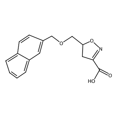 O=C(O)C1=NOC(COCc2ccc3ccccc3c2)C1